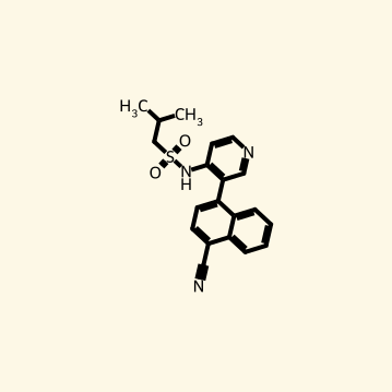 CC(C)CS(=O)(=O)Nc1ccncc1-c1ccc(C#N)c2ccccc12